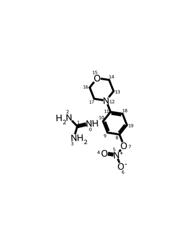 N=C(N)N.O=[N+]([O-])Oc1ccc(N2CCOCC2)cc1